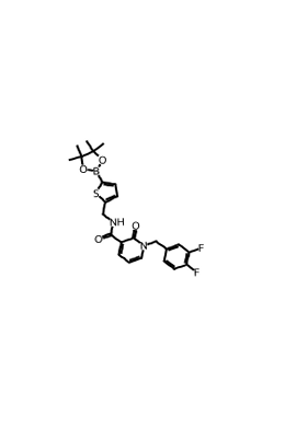 CC1(C)OB(c2ccc(CNC(=O)c3cccn(Cc4ccc(F)c(F)c4)c3=O)s2)OC1(C)C